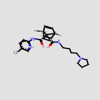 O=C(NCCCCN1CCCC1)[C@H]1[C@H](C(=O)Nc2ccc(C(F)(F)F)cn2)[C@@H]2C=C[C@H]1C21CC1